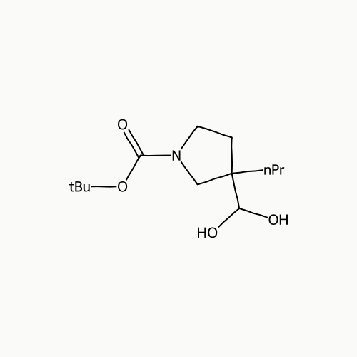 CCCC1(C(O)O)CCN(C(=O)OC(C)(C)C)C1